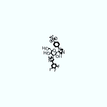 CN(C)S(=O)(=O)c1ccc(-n2cnnc2[C@@H]2O[C@H](CO)[C@H](O)[C@H](n3cc(-c4cc(F)c(F)c(F)c4)nn3)[C@H]2O)cc1